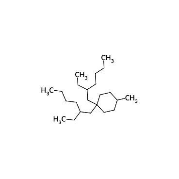 CCCCC(CC)CC1(CC(CC)CCCC)CCC(C)CC1